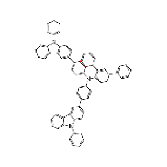 C1=CCC(C2=CC(c3ccccc3)CC=C2N(c2ccc(-c3ccc4c(c3)c3c(n4C4=CCCC=C4)=CCCC=3)cc2)c2ccc(-c3ccc4c(c3)c3ccccc3n4-c3ccccc3)cc2)C=C1